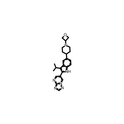 CC(C)c1c(-c2cnc3ncnn3c2)[nH]c2ccc(C3CCN(C4COC4)CC3)cc12